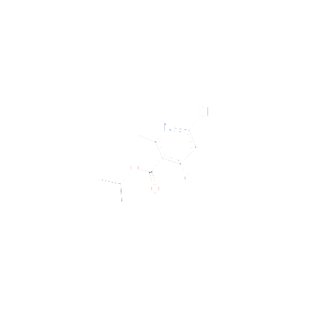 Cc1nc(Cl)cc(Cl)c1C(=O)OC(C)C